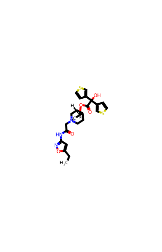 CCc1cc(NC(=O)C[N+]23CCC(CC2)[C@@H](OC(=O)C(O)(c2ccsc2)c2ccsc2)C3)no1